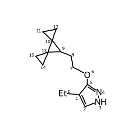 CCc1c[nH]nc1OCCC1C2(CC2)C12CC2